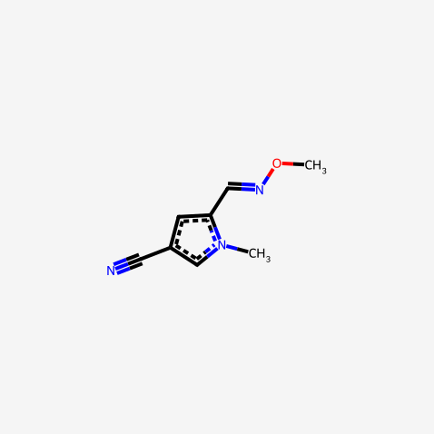 CON=Cc1cc(C#N)cn1C